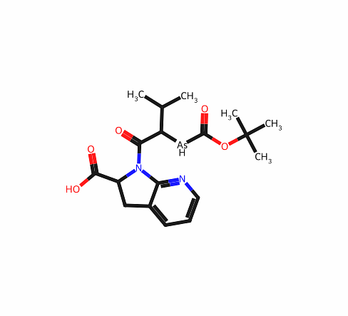 CC(C)C([AsH]C(=O)OC(C)(C)C)C(=O)N1c2ncccc2CC1C(=O)O